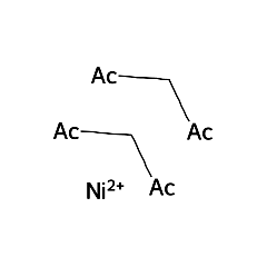 [CH2-]C(=O)CC(C)=O.[CH2-]C(=O)CC(C)=O.[Ni+2]